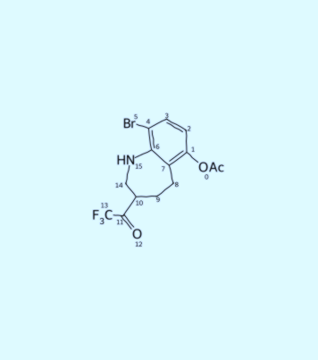 CC(=O)Oc1ccc(Br)c2c1CCC(C(=O)C(F)(F)F)CN2